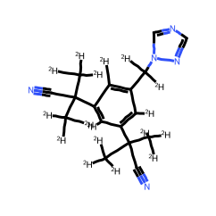 [2H]c1c(C([2H])([2H])n2cncn2)c([2H])c(C(C#N)(C([2H])([2H])[2H])C([2H])([2H])[2H])c([2H])c1C(C#N)(C([2H])([2H])[2H])C([2H])([2H])[2H]